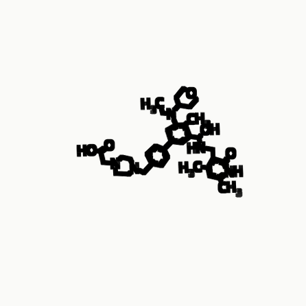 CCN(c1cc(-c2ccc(CN3CCN(CC(=O)O)CC3)cc2)cc(C(O)NCc2c(C)cc(C)[nH]c2=O)c1C)C1CCOCC1